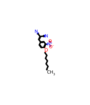 CCCCCCCCOc1ccc(C=C(C#N)C#N)cc1[N+](=O)[O-]